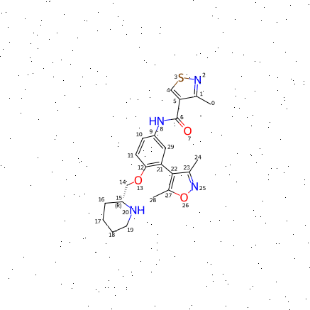 Cc1nscc1C(=O)Nc1ccc(OC[C@H]2CCCCN2)c(-c2c(C)noc2C)c1